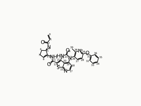 C=CC(=O)/N=C1\CCC=C1NC(=O)c1sc2nccc3c2c1NC(=O)N3c1ccc(Oc2ccccc2)nc1C